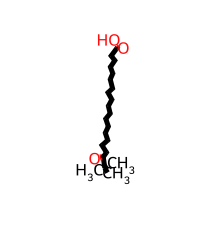 CC(C)(C)C(=O)CCCCCCCCCCCCCCCCC(=O)O